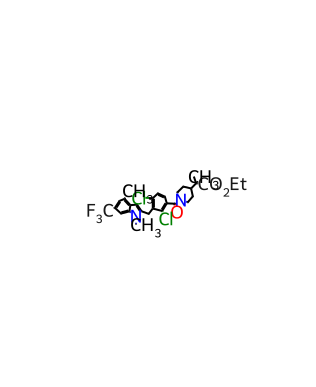 CCOC(=O)C(C)C1CCN(C(=O)c2ccc(Cl)c(Cc3cc4c(C)cc(C(F)(F)F)cc4n3C)c2Cl)CC1